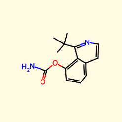 CC(C)(C)c1nccc2cccc(OC(N)=O)c12